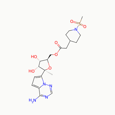 C[C@@]1(c2ccc3c(N)ncnn23)O[C@H](COC(=O)CC2CCN(S(C)(=O)=O)CC2)[C@@H](O)[C@H]1O